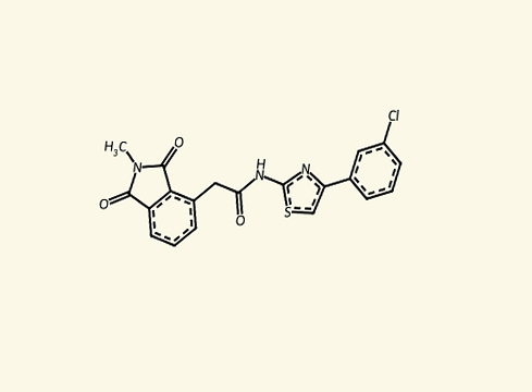 CN1C(=O)c2cccc(CC(=O)Nc3nc(-c4cccc(Cl)c4)cs3)c2C1=O